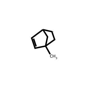 CC12C=CC([CH]C1)C2